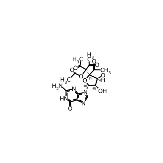 CC(=O)OC(C(C)=O)(C(C)=O)[C@@]1(C(C)=O)O[C@@H](n2cnc3c(=O)[nH]c(N)nc32)[C@H](O)[C@@H]1O